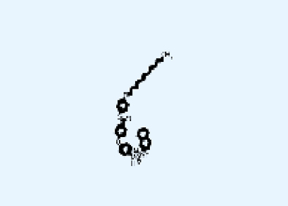 CCCCCCCCCCCCOc1ccc(SC(=O)c2ccc(Oc3ccc(NS(=O)(=O)Nc4ccc5ccccc5c4)cc3)cc2)cc1